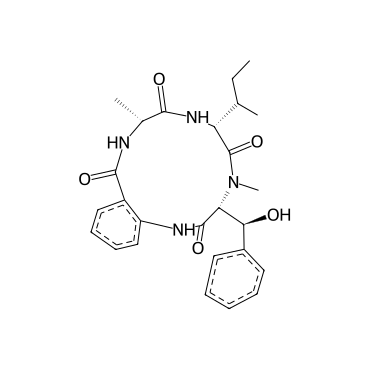 CCC(C)[C@H]1NC(=O)[C@@H](C)NC(=O)c2ccccc2NC(=O)[C@@H]([C@@H](O)c2ccccc2)N(C)C1=O